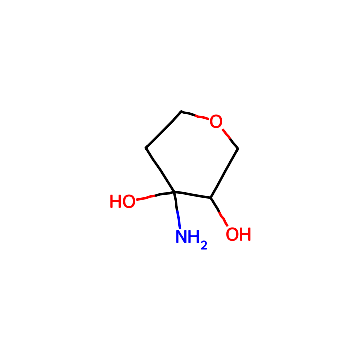 NC1(O)CCOCC1O